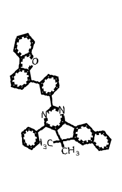 CC1(C)c2cc3ccccc3cc2-c2nc(-c3cccc(-c4cccc5c4oc4ccccc45)c3)nc(-c3ccccc3)c21